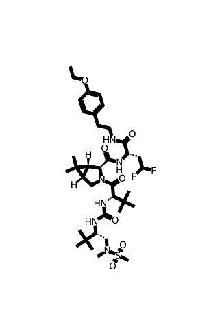 CCOc1ccc(CCNC(=O)[C@H](CC(F)F)NC(=O)[C@@H]2[C@@H]3[C@H](CN2C(=O)[C@@H](NC(=O)N[C@H](CN(C)S(C)(=O)=O)C(C)(C)C)C(C)(C)C)C3(C)C)cc1